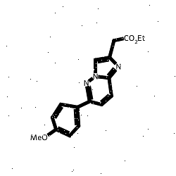 CCOC(=O)Cc1cn2nc(-c3ccc(OC)cc3)ccc2n1